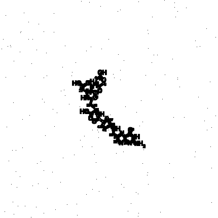 CC(=O)[C@H](CC(=O)O)NC(=O)[C@H](CC(=O)O)NC(=O)CC[C@H](NC(=O)c1ccc(NCc2cnc3nc(N)[nH]c(=O)c3n2)cc1)C(=O)O